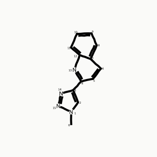 Cn1cc(-c2ccc3ccccc3n2)nn1